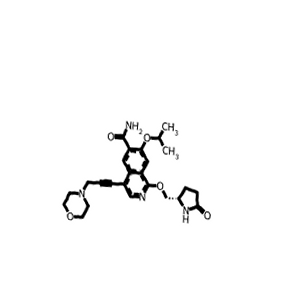 CC(C)Oc1cc2c(OC[C@@H]3CCC(=O)N3)ncc(C#CCN3CCOCC3)c2cc1C(N)=O